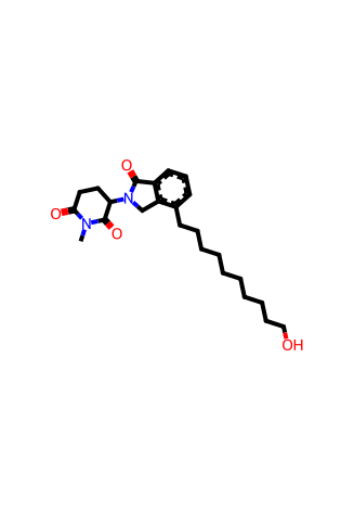 CN1C(=O)CCC(N2Cc3c(CCCCCCCCCCO)cccc3C2=O)C1=O